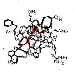 C/C=C(\N[C@H](C(=O)N[C@@H](Cc1ccccc1)C(C)=O)[C@@H](C)O)[C@H](CCCCN)NC(=O)[C@@H](Cc1c[nH]c2ccccc12)NC(=O)[C@H](Cc1ccccc1)NC(=O)[C@H](Cc1ccccc1)NC(=O)[C@H](CCCNC(=N)N)NC(=O)[C@@H](CCNC)NC(=O)[C@H](Cc1ccc(O)cc1)NC(=O)CSC[C@@H]1C[C@@H]2c3cccc4[nH]cc(c34)C[C@H]2N(C)C1